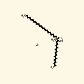 CCCCCCCCCCCCCCCCCCCCCC[N+](C)(C)C(O)CCCCCCCCCCCCCCC.[Cl-]